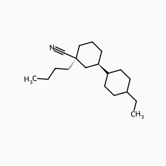 CCCC[C@]1(C#N)CCC[C@@H](C2CCC(CC)CC2)C1